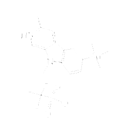 Cc1cc2c3c[c]([Sn]([CH3])([CH3])[CH3])ccc3n(C)c2c[nH+]1.O=S(=O)([O-])C(F)(F)F